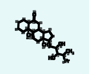 CC(C)[C@H](C)[C@@H](O)[C@H](O)CC1CCC2C3CC(=O)C4CCCC[C@]4(C)C3CC[C@]12C